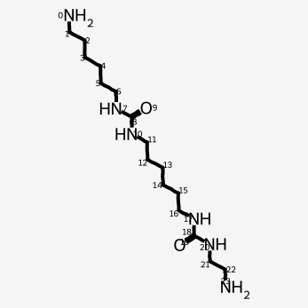 NCCCCCCNC(=O)NCCCCCCNC(=O)NCCN